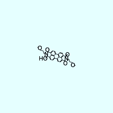 COCCCN1C(=O)c2ccc3c4ccc5c6c(ccc(c7ccc(c2c37)C1=O)c64)C(O)N(CCCOC)C5=O